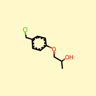 CC(O)COc1ccc(CCl)cc1